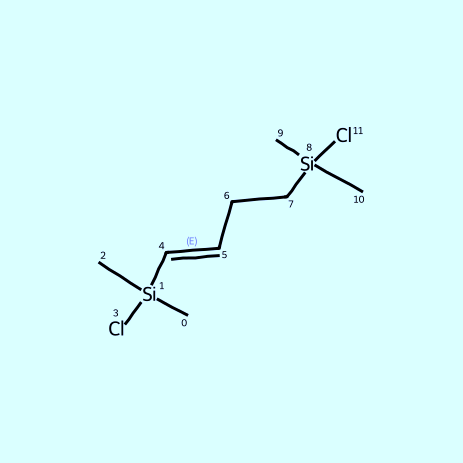 C[Si](C)(Cl)/C=C/CC[Si](C)(C)Cl